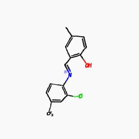 Cc1ccc(O)c(/C=N/c2ccc(C(F)(F)F)cc2Cl)c1